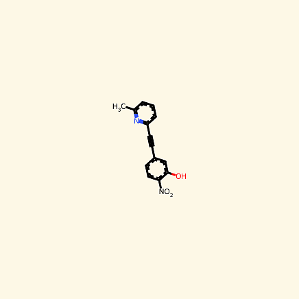 Cc1cccc(C#Cc2ccc([N+](=O)[O-])c(O)c2)n1